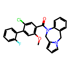 COc1cc(-c2ccccc2F)c(Cl)cc1C(=O)N1Cc2cccn2Cc2ccccc21